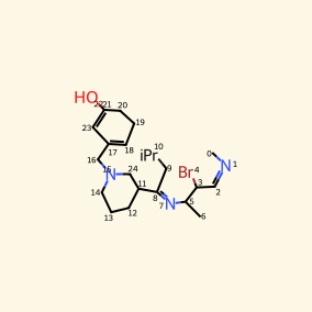 C/N=C\C(Br)C(C)/N=C(\CC(C)C)C1CCCN(CC2=CCCC(O)=C2)C1